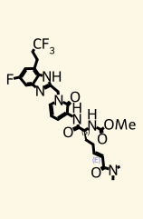 COC(=O)N[C@@H](CC/C=C/C(=O)N(C)C)C(=O)Nc1cccn(Cc2nc3cc(F)cc(CCC(F)(F)F)c3[nH]2)c1=O